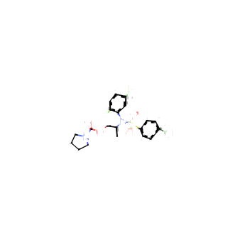 CC(COC(=O)N1CCCC1)N(c1cc(F)ccc1F)S(=O)(=O)c1ccc(Cl)cc1